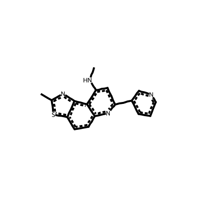 CNc1cc(-c2cccnc2)nc2ccc3sc(C)nc3c12